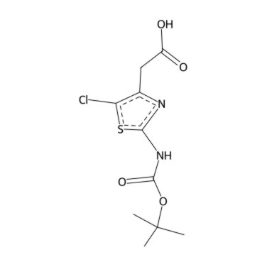 CC(C)(C)OC(=O)Nc1nc(CC(=O)O)c(Cl)s1